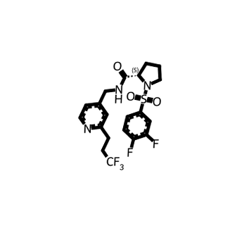 O=C(NCc1ccnc(CCC(F)(F)F)c1)[C@@H]1CCCN1S(=O)(=O)c1ccc(F)c(F)c1